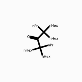 CCCCCCC(CCC)(CCCCCC)C(=O)C(CCC)(CCCCCC)CCCCCC